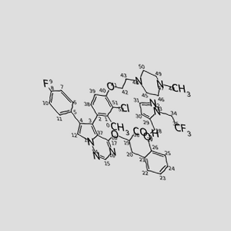 Cc1c(-c2c(-c3ccc(F)cc3)cn3ncnc(OC(Cc4ccccc4OCc4ccnn4CC(F)(F)F)C(=O)O)c23)ccc(OCCN2CCN(C)CC2)c1Cl